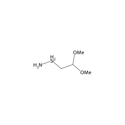 COC(C[SiH2]N)OC